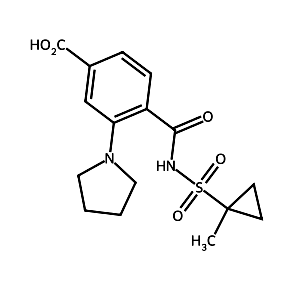 CC1(S(=O)(=O)NC(=O)c2ccc(C(=O)O)cc2N2CCCC2)CC1